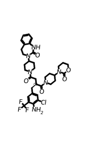 Nc1c(Cl)cc(C[C@@H](CC(=O)N2CCC(N3CCc4ccccc4NC3=O)CC2)C(=O)N2CCC(N3CCCOC3=O)CC2)cc1C(F)(F)F